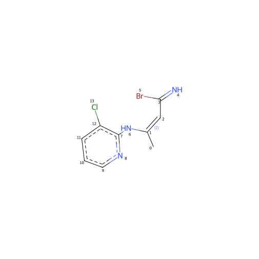 C/C(=C/C(=N)Br)Nc1ncccc1Cl